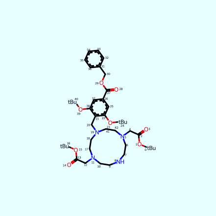 CC(C)(C)OC(=O)CN1CCNCCN(CC(=O)OC(C)(C)C)CCN(Cc2c(OC(C)(C)C)cc(C(=O)OCc3ccccc3)cc2OC(C)(C)C)CC1